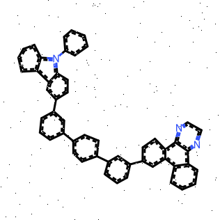 c1ccc(-n2c3ccccc3c3cc(-c4cccc(-c5ccc(-c6cccc(-c7ccc8c(c7)c7ccccc7c7nccnc87)c6)cc5)c4)ccc32)cc1